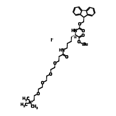 CC(C)(C)OC(=O)[C@H](CCCCNC(=O)CCOCCOCCOCCOCC[N+](C)(C)C)NC(=O)OCC1c2ccccc2-c2ccccc21.[I-]